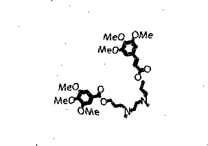 COc1cc(/C=C/C(=O)OCCCN(C)CCN(C)CCCOC(=O)c2cc(OC)c(OC)c(OC)c2)cc(OC)c1OC